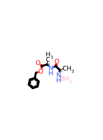 BN[C@@H](C)C(=O)N[C@@H](C)C(=O)OCc1ccccc1